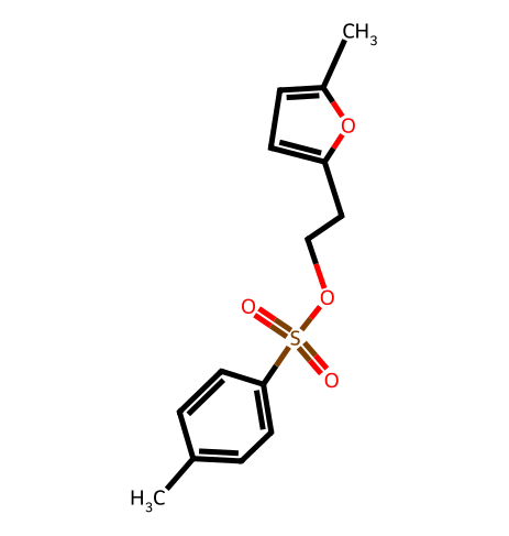 Cc1ccc(S(=O)(=O)OCCc2ccc(C)o2)cc1